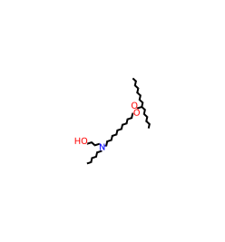 CCCCCCCCC(CCCCCC)C(=O)OCCCCCCCCCCCCN(CCCCO)CCCCCC